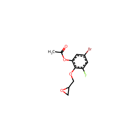 CC(=O)Oc1cc(Br)cc(F)c1OCC1CO1